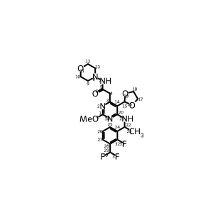 COc1nc(CC(=O)NN2CCOCC2)c(C2OCCO2)c(NC(C)c2cccc(C(F)F)c2F)n1